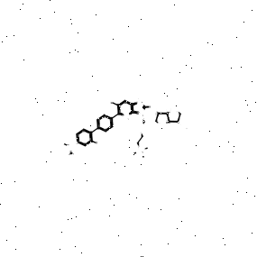 C[S+]([O-])c1ccc(-c2ccc(-c3nc4c(cc3Cl)nc(O[C@@H]3CO[C@H]5[C@@H]3OC[C@H]5O)n4COCC[Si](C)(C)C)cc2)c(F)c1